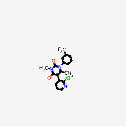 Cc1c(-c2cccnc2Cl)c(=O)n(C)c(=O)n1-c1cccc(C(F)(F)F)c1